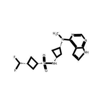 CN(c1ncnc2[nH]ccc12)[C@H]1C[C@@H](NS(=O)(=O)[C@H]2C[C@@H](C(F)F)C2)C1